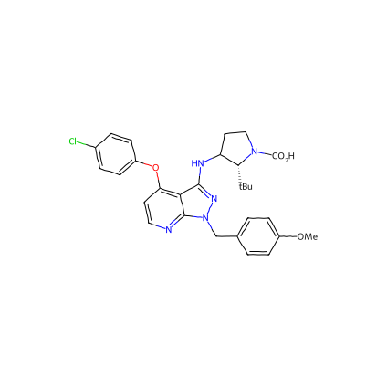 COc1ccc(Cn2nc(NC3CCN(C(=O)O)[C@@H]3C(C)(C)C)c3c(Oc4ccc(Cl)cc4)ccnc32)cc1